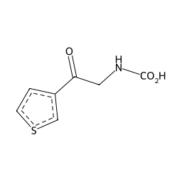 O=C(O)NCC(=O)c1ccsc1